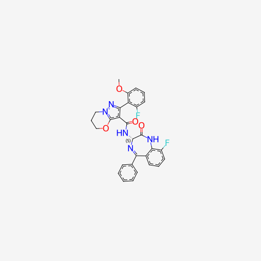 COc1cccc(F)c1-c1nn2c(c1C(=O)N[C@H]1N=C(c3ccccc3)c3cccc(F)c3NC1=O)OCCC2